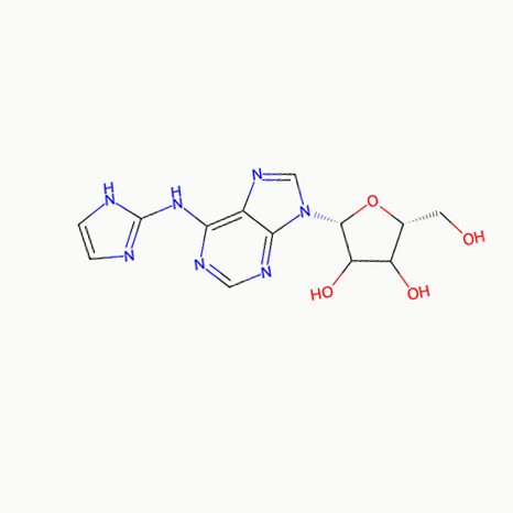 OC[C@H]1O[C@@H](n2cnc3c(Nc4ncc[nH]4)ncnc32)C(O)C1O